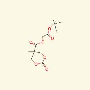 CC(C)(C)OC(=O)COC(=O)C1(C)COC(=O)OC1